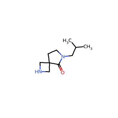 CC(C)CN1CCC2(CNC2)C1=O